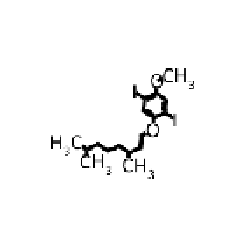 COc1cc(I)c(OCCC(C)CCCC(C)C)cc1I